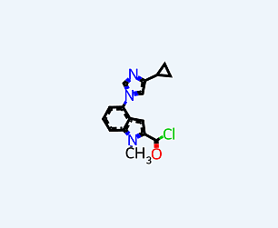 Cn1c(C(=O)Cl)cc2c(-n3cnc(C4CC4)c3)cccc21